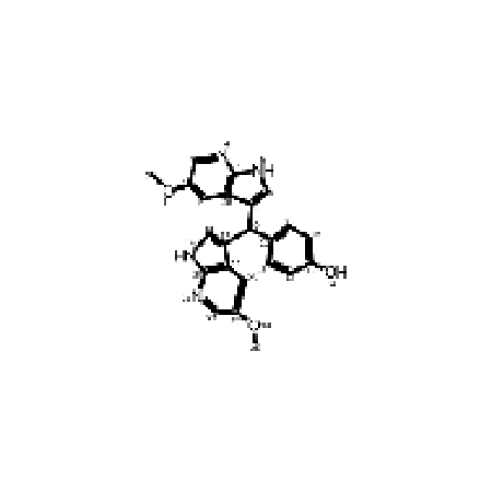 COc1cnc2[nH]cc(C(c3ccc(O)cc3)c3c[nH]c4ncc(OC)cc34)c2c1